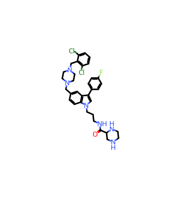 O=C(NCCCn1cc(-c2ccc(F)cc2)c2cc(CN3CCN(Cc4c(Cl)cccc4Cl)CC3)ccc21)C1CNCCN1